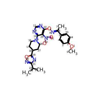 COc1ccc(C(C)=NOc2ncnc(N3CCC(c4nc(C(C)C)no4)CC3)c2[N+](=O)[O-])cc1